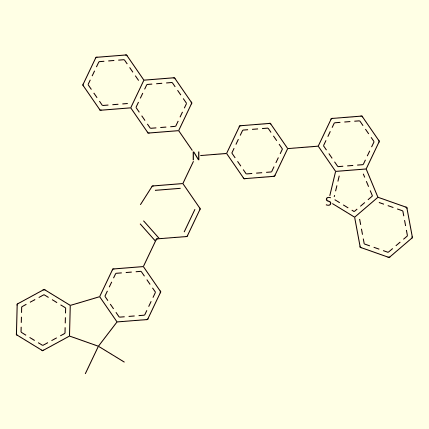 C=C(/C=C\C(=C/C)N(c1ccc(-c2cccc3c2sc2ccccc23)cc1)c1ccc2ccccc2c1)c1ccc2c(c1)-c1ccccc1C2(C)C